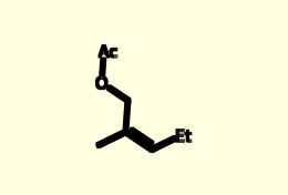 CCC=C(C)COC(C)=O